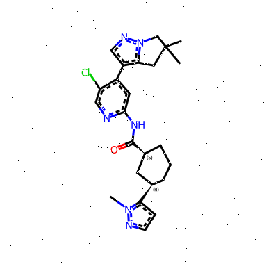 Cn1nccc1[C@@H]1CCC[C@H](C(=O)Nc2cc(-c3cnn4c3CC(C)(C)C4)c(Cl)cn2)C1